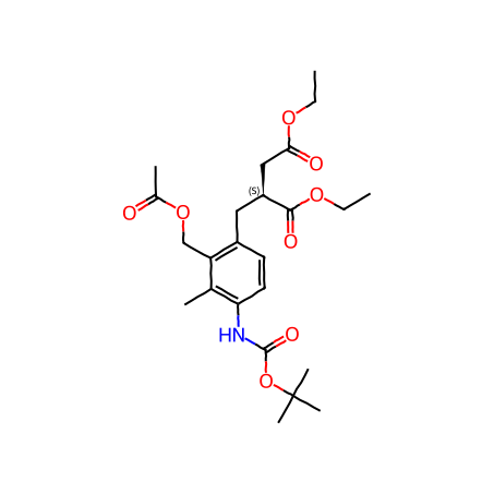 CCOC(=O)C[C@H](Cc1ccc(NC(=O)OC(C)(C)C)c(C)c1COC(C)=O)C(=O)OCC